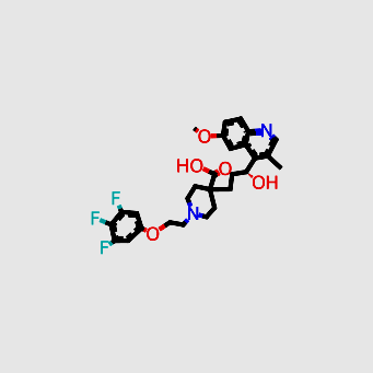 COc1ccc2ncc(C)c([C@H](O)CCC3(C(=O)O)CCN(CCOc4cc(F)c(F)c(F)c4)CC3)c2c1